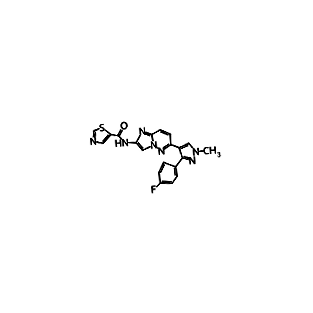 Cn1cc(-c2ccc3nc(NC(=O)c4cncs4)cn3n2)c(-c2ccc(F)cc2)n1